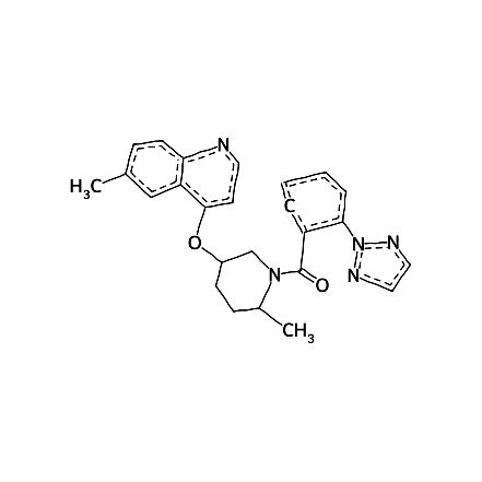 Cc1ccc2nccc(OC3CCC(C)N(C(=O)c4ccccc4-n4nccn4)C3)c2c1